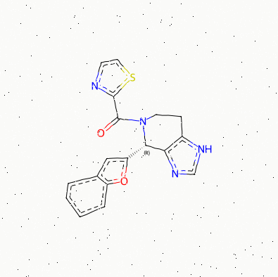 O=C(c1nccs1)N1CCc2[nH]cnc2[C@@H]1c1cc2ccccc2o1